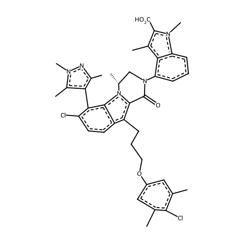 Cc1cc(OCCCc2c3n(c4c(-c5c(C)nn(C)c5C)c(Cl)ccc24)[C@H](C)CN(c2cccc4c2c(C)c(C(=O)O)n4C)C3=O)cc(C)c1Cl